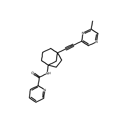 Cc1cncc(C#CC23CCCC(NC(=O)c4ccccn4)(CC2)C3)n1